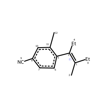 CC/C(C)=C(\CC)c1ccc(C#N)cc1C